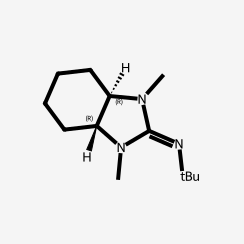 CN1C(=NC(C)(C)C)N(C)[C@@H]2CCCC[C@H]21